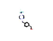 Cl.O=C(O)Cc1ccc(CN2CCN(C(F)(F)F)CC2)cc1